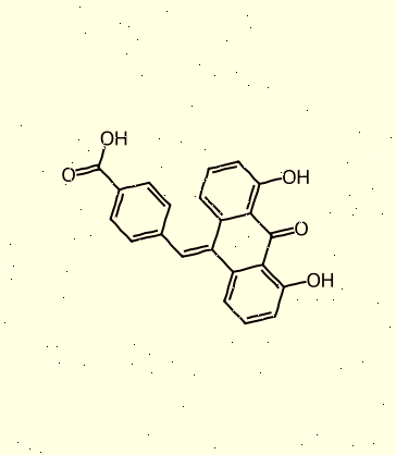 O=C(O)c1ccc(C=C2c3cccc(O)c3C(=O)c3c(O)cccc32)cc1